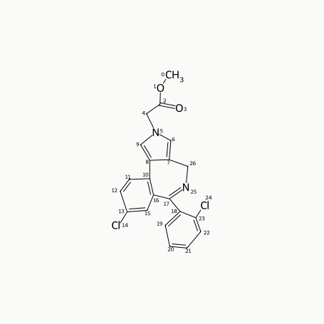 COC(=O)Cn1cc2c(c1)-c1ccc(Cl)cc1C(c1ccccc1Cl)=NC2